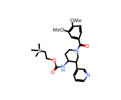 COc1ccc(C(=O)N2CCC(NC(=O)OCC[Si](C)(C)C)C(c3cccnc3)C2)cc1OC